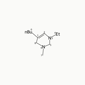 CCCCC1=CN(CC)CN(C)C1